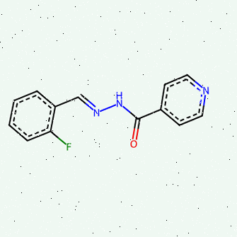 O=C(N/N=C/c1ccccc1F)c1ccncc1